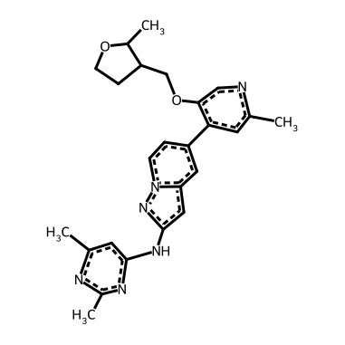 Cc1cc(-c2ccn3nc(Nc4cc(C)nc(C)n4)cc3c2)c(OCC2CCOC2C)cn1